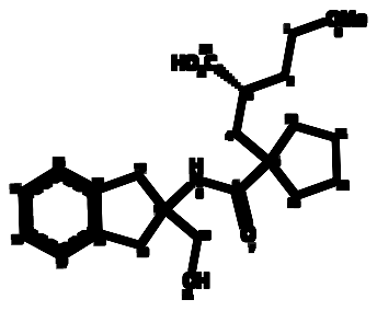 COCC[C@H](CC1(C(=O)NC2(CO)Cc3ccccc3C2)CCCC1)C(=O)O